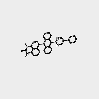 C=c1n(C)c2cccc3c(-c4c5ccccc5c(-c5ncc(-c6ccccc6)cn5)c5ccccc45)ccc(c32)n1C